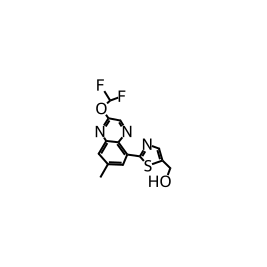 Cc1cc(-c2ncc(CO)s2)c2ncc(OC(F)F)nc2c1